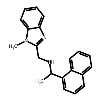 CC(NCc1nc2ccccc2n1C)c1cccc2ccccc12